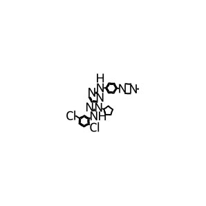 CN1CCN(c2ccc(Nc3ncc4nc(Nc5cc(Cl)ccc5Cl)n(C5CCCC5)c4n3)cc2)CC1